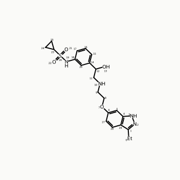 CCc1n[nH]c2cc(OCCNCC(O)c3cccc(NS(=O)(=O)C4CC4)c3)ccc12